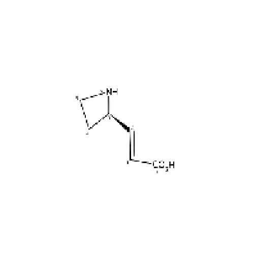 O=C(O)/C=C/[C@H]1CCN1